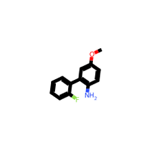 COc1ccc(N)c(-c2ccccc2F)c1